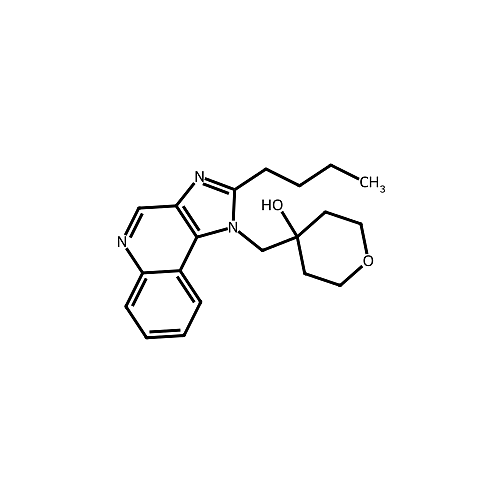 CCCCc1nc2cnc3ccccc3c2n1CC1(O)CCOCC1